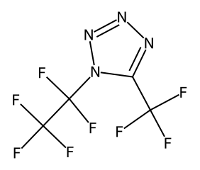 FC(F)(F)c1nnnn1C(F)(F)C(F)(F)F